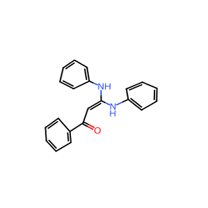 O=C(C=C(Nc1ccccc1)Nc1ccccc1)c1ccccc1